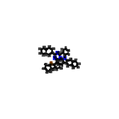 c1ccc(-n2c3ccccc3c3cc4ccccc4cc32)c(-c2nc(-c3ccc4ccccc4c3)nc(-c3cccc4c3sc3ccccc34)n2)c1